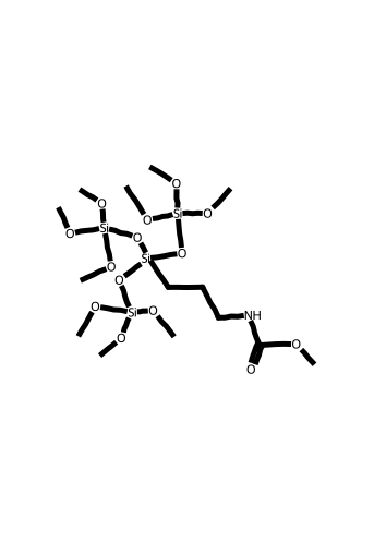 COC(=O)NCCC[Si](O[Si](OC)(OC)OC)(O[Si](OC)(OC)OC)O[Si](OC)(OC)OC